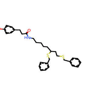 O=C(CCc1ccc(O)cc1)NCCCCCC(CCSCc1ccccc1)SCc1ccccc1